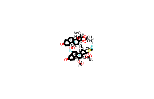 CC(=O)OCC(=O)[C@@]12OC(C)(C)O[C@@H]1C[C@H]1[C@@H]3CCC4=CC(=O)C=C[C@]4(C)C3(F)[C@@H](O)C[C@@]12C.CCC(=O)O[C@H]1C[C@@]2(C)[C@@H](C[C@@H](C)[C@]2(OC(=O)CC)C(=O)SCF)[C@@H]2C[C@H](F)C3=CC(=O)C=C[C@]3(C)[C@@]12F